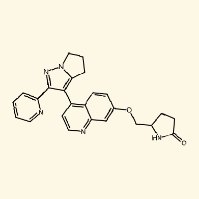 O=C1CCC(COc2ccc3c(-c4c(-c5ccccn5)nn5c4CCC5)ccnc3c2)N1